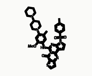 COc1cc(N2CCC(N3CCCCC3)CC2)c(C)cc1Nc1nc2c(ccn2S(=O)(=O)c2ccc(C)cc2)c2nc3ccsc3c(=O)n12